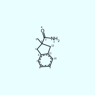 CC1(C(N)=O)Cc2ccccc2C1